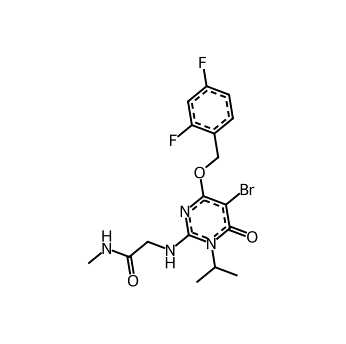 CNC(=O)CNc1nc(OCc2ccc(F)cc2F)c(Br)c(=O)n1C(C)C